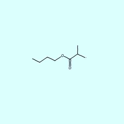 [CH2]C(C)C(=O)OCCCC